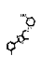 Cc1cccc(-c2nc(CO[C@@H]3CCC[C@H](O)C3)c(C)o2)c1